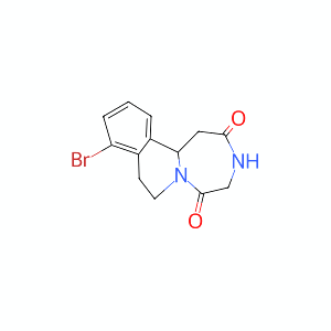 O=C1CC2c3cccc(Br)c3CCN2C(=O)CN1